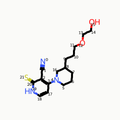 N#Cc1c(N2CCCC(CCCOCCO)C2)cc[nH]c1=S